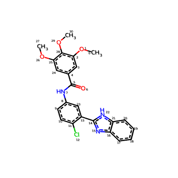 COc1cc(C(=O)Nc2ccc(Cl)c(-c3nc4ccccc4[nH]3)c2)cc(OC)c1OC